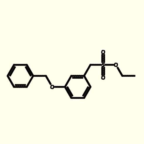 CCOS(=O)(=O)Cc1cccc(OCc2ccccc2)c1